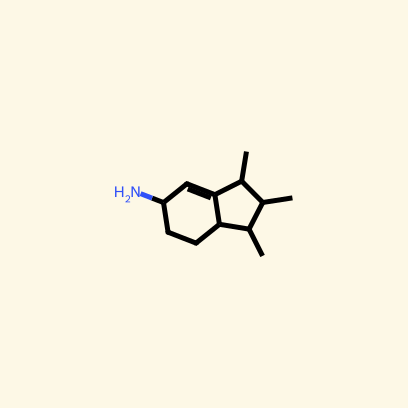 CC1C2=CC(N)CCC2C(C)C1C